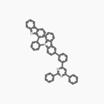 c1ccc(-c2cc(-c3cccc(-c4ccc5c(c4)c4ccccc4n5-c4ccccc4-c4cccc5c4oc4ccccc45)c3)nc(-c3ccccc3)n2)cc1